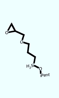 CCCC(C)O[SiH2]CCCOCC1CO1